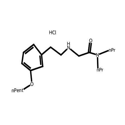 CCCCCOc1cccc(CCNCC(=O)N(CCC)CCC)c1.Cl